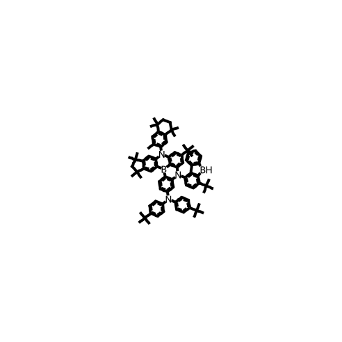 Cc1cc2c(cc1N1c3cc4c(cc3B3c5ccc(N(c6ccc(C(C)(C)C)cc6)c6ccc(C(C)(C)C)cc6)cc5N(c5ccc(C(C)(C)C)c6c5-c5ccccc5B6)c5cc(C(C)(C)C)cc1c53)C(C)(C)CC4(C)C)C(C)(C)CCC2(C)C